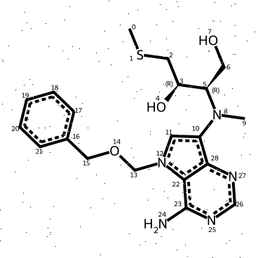 CSC[C@H](O)[C@@H](CO)N(C)c1cn(COCc2ccccc2)c2c(N)ncnc12